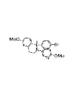 COc1ccc2c(c1)CCN(c1ccc(OC)nc1)C2(C)c1ccc(Br)cc1